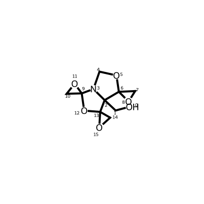 OCC12N(COC13CO3)C1(CO1)OC21CO1